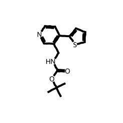 CC(C)(C)OC(=O)NCc1cnccc1-c1cccs1